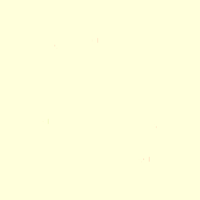 O=C(O)c1ccc2c(Cl)cc(C(=O)O)cc2c1